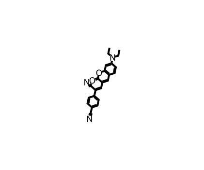 CCN(CC)c1ccc2cc(/C=C(\C#N)c3ccc(C#N)cc3)c(=O)oc2c1